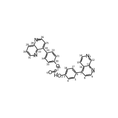 O=[PH](Oc1ccc(-c2ccnc3cnccc23)cc1)Oc1ccc(-c2ccnc3cccnc23)cc1